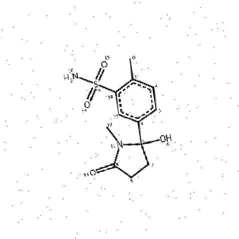 Cc1ccc(C2(O)CCC(=O)N2C)cc1S(N)(=O)=O